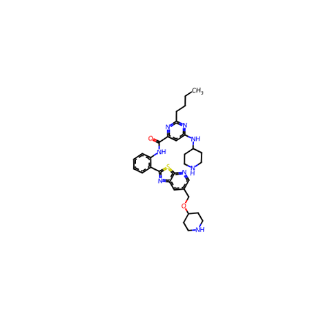 CCCCc1nc(NC2CCNCC2)cc(C(=O)Nc2ccccc2-c2nc3cc(COC4CCNCC4)cnc3s2)n1